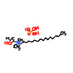 CCCCCCCCCCCCCCCC[N+](C)(C)C(C)O.O=P(O)(O)O